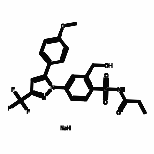 CCC(=O)NS(=O)(=O)c1ccc(-n2nc(C(F)(F)F)cc2-c2ccc(OC)cc2)cc1CO.[NaH]